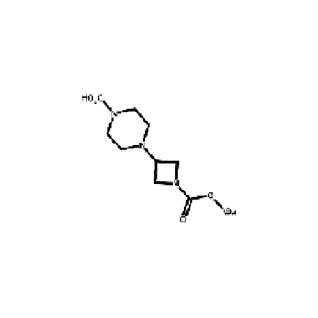 CC(C)(C)OC(=O)N1CC(N2CCN(C(=O)O)CC2)C1